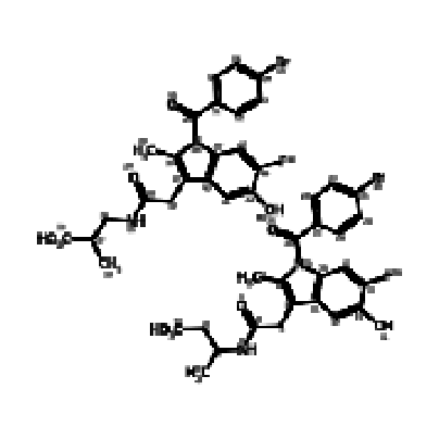 Cc1c(CC(=O)NC(C)CC(=O)O)c2cc(O)c(F)cc2n1C(=O)c1ccc(Br)cc1.Cc1c(CC(=O)NCC(C)C(=O)O)c2cc(O)c(F)cc2n1C(=O)c1ccc(Br)cc1